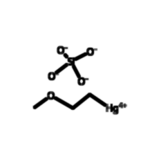 COC[CH2][Hg+4].[O-][Si]([O-])([O-])[O-]